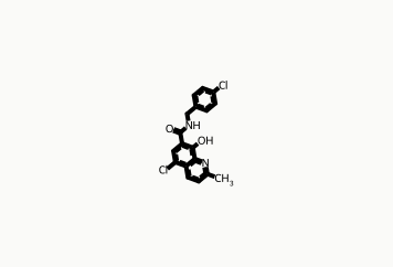 Cc1ccc2c(Cl)cc(C(=O)NCc3ccc(Cl)cc3)c(O)c2n1